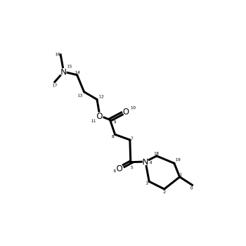 CC1CCN(C(=O)CCC(=O)OCCCN(C)C)CC1